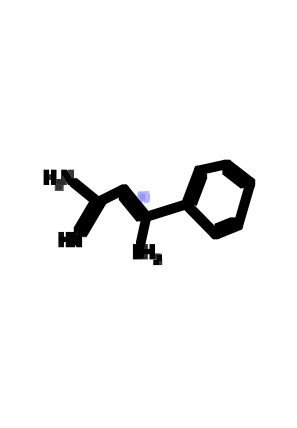 B/C(=C\C(=N)N)c1ccccc1